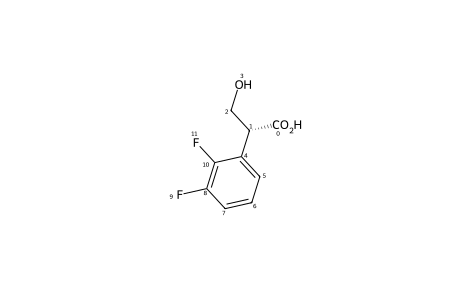 O=C(O)[C@@H](CO)c1cccc(F)c1F